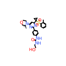 Cc1ccccc1S(=O)(=O)C1(c2cc(N3CCOC[C@@H]3C)nc(-c3ccc(NC(=O)NCCO)cc3)n2)CC1